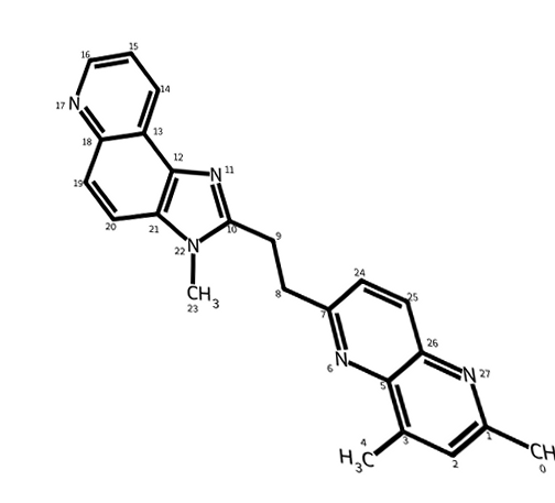 Cc1cc(C)c2nc(CCc3nc4c5cccnc5ccc4n3C)ccc2n1